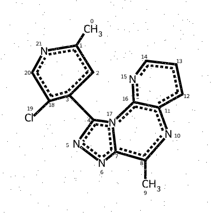 Cc1cc(-c2nnc3c(C)nc4cccnc4n23)c(Cl)cn1